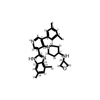 Cc1cc(C)cc(-c2cncc(-c3nc4c(C)cc(C)cc4[nH]3)c2N2CCC(NC3COC3)CC2)c1